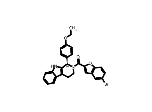 CCOc1ccc([C@@H]2c3[nH]c4ccccc4c3CCN2C(=O)c2cc3cc(Br)ccc3o2)cc1